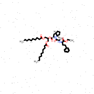 CCCCCCCCCC(=O)OCC(COC(=O)CCCCCCCCC)OC(=O)[C@@H]1C[C@@H]2CCC[C@@H]2N1C(=O)C(C)NC(CCc1ccccc1)C(=O)OCC